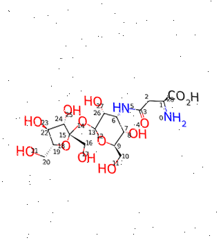 N[C@@H](CC(=O)N[C@@H]1[C@H](O)[C@@H](CO)OC(O[C@]2(CO)O[C@H](CO)[C@@H](O)[C@@H]2O)[C@@H]1O)C(=O)O